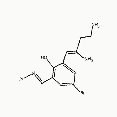 CCC(C)c1cc(C=NC(C)C)c(O)c(C=C(N)CCN)c1